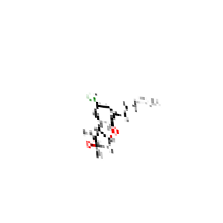 CCOC(=O)CCCc1cc(Cl)cc2c1OC1C[C@H]3O[C@H]3C21